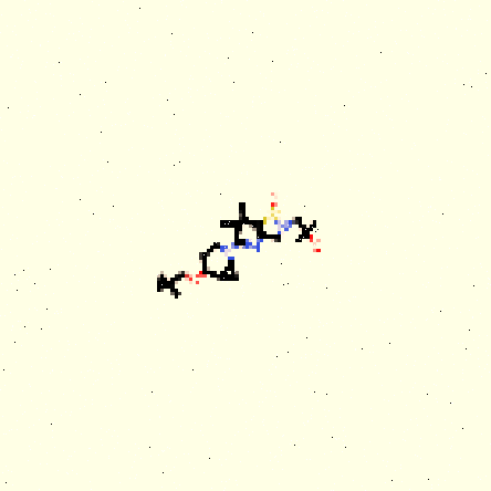 Cc1c(N2CCC(OCC3(C)CC3)C3CC32)nc2c(c1C)[S+]([O-])N(CC(C)(C)O)C2